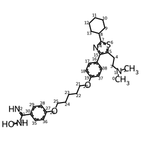 CN(C)CCc1sc(C2CCCCC2)nc1-c1ccc(OCCCCCOc2ccc(C(=N)NO)cc2)cc1